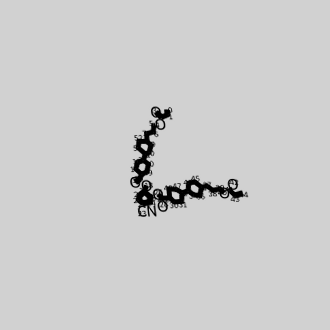 C=CC(=O)OCCCC1CCC(C2CCC(C(=O)Oc3ccc(C#N)cc3OC(=O)C3CCC(C4CCC(CCCOC(=O)C=C)CC4)CC3)CC2)CC1